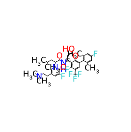 Cc1cc(F)cc(C)c1-c1cc([C@H](CC(=O)O)NC(=O)C(CC(C)C)n2cc(CCN(C)C)cc(F)c2=O)c(F)c(C(F)(F)F)c1